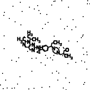 C=C(C=O)CN1CCN(C(CC)c2ccc(C3(Nc4ncc5c(n4)N(C(C)C)C(=C)N=C5)CC3)cc2)CC1